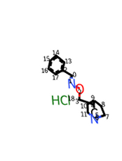 C(=NOCC1CN2CCC1CC2)c1ccccc1.Cl